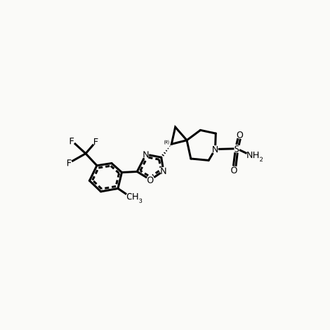 Cc1ccc(C(F)(F)F)cc1-c1nc([C@@H]2CC23CCN(S(N)(=O)=O)CC3)no1